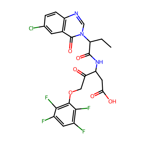 CCC(C(=O)NC(CC(=O)O)C(=O)COc1c(F)c(F)cc(F)c1F)n1cnc2ccc(Cl)cc2c1=O